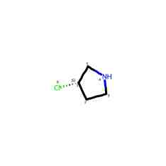 Cl[C@H]1CCNC1